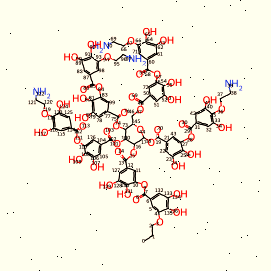 CCCOc1cc(C(=O)Oc2cc(C(=O)OC3C(OC(=O)c4cc(O)c(O)c(OC(=O)c5cc(O)c(OCCN)c(O)c5)c4)OC(COC(=O)c4cc(O)c(O)c(OC(=O)c5cc(O)c(O)c(OCCN)c5)c4)C(OC(=O)c4cc(O)c(O)c(OC(=O)c5cc(O)c(O)c(OCCN)c5)c4)C3OC(=O)c3cc(O)c(O)c(OC(=O)c4cc(O)c(OCCN)c(O)c4)c3)cc(O)c2O)cc(O)c1O